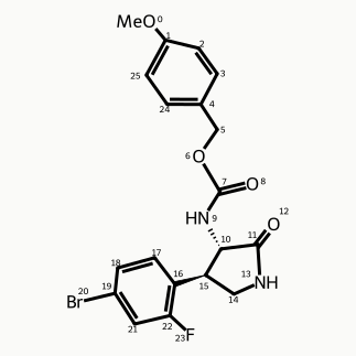 COc1ccc(COC(=O)N[C@@H]2C(=O)NC[C@H]2c2ccc(Br)cc2F)cc1